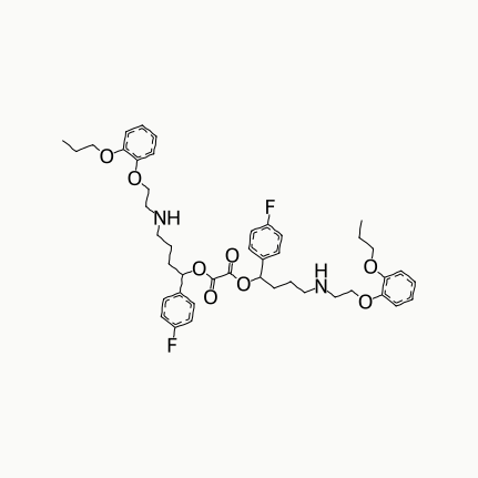 CCCOc1ccccc1OCCNCCCC(OC(=O)C(=O)OC(CCCNCCOc1ccccc1OCCC)c1ccc(F)cc1)c1ccc(F)cc1